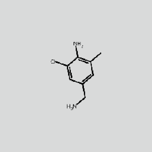 Cc1cc(CN)cc(Cl)c1N